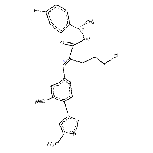 COc1cc(/C=C(\CCCCl)C(=O)N[C@@H](C)c2ccc(F)cc2)ccc1-n1cnc(C)c1